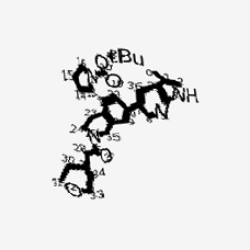 Cc1c[nH]c2ncc(-c3cc4c(c([C@@H]5CCCN5C(=O)OC(C)(C)C)c3)CCN(C(=O)CC3CCOCC3)C4)cc12